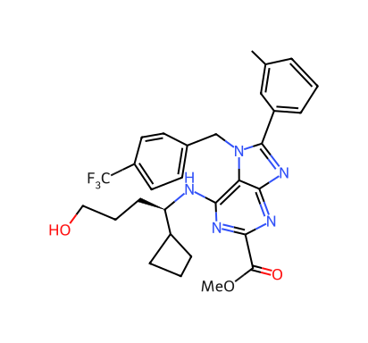 COC(=O)c1nc(N[C@H](CCCO)C2CCC2)c2c(n1)nc(-c1cccc(C)c1)n2Cc1ccc(C(F)(F)F)cc1